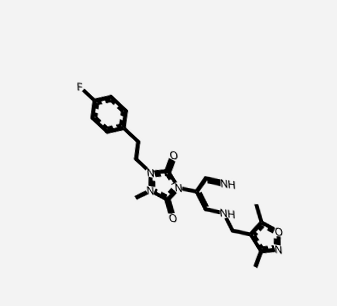 Cc1noc(C)c1CN/C=C(\C=N)n1c(=O)n(C)n(CCc2ccc(F)cc2)c1=O